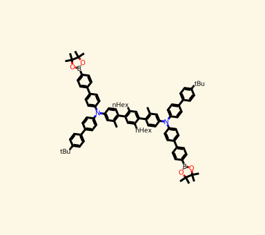 CCCCCCc1cc(-c2ccc(N(c3ccc(-c4ccc(B5OC(C)(C)C(C)(C)O5)cc4)cc3)c3ccc(-c4ccc(C(C)(C)C)cc4)cc3)cc2C)c(CCCCCC)cc1-c1ccc(N(c2ccc(-c3ccc(B4OC(C)(C)C(C)(C)O4)cc3)cc2)c2ccc(-c3ccc(C(C)(C)C)cc3)cc2)cc1C